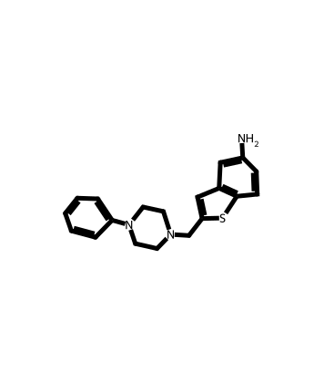 Nc1ccc2sc(CN3CCN(c4ccccc4)CC3)cc2c1